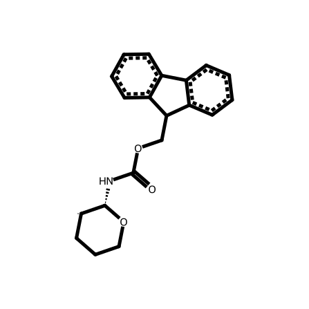 O=C(N[C@H]1[CH]CCCO1)OCC1c2ccccc2-c2ccccc21